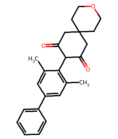 Cc1cc(-c2ccccc2)cc(C)c1C1C(=O)CC2(CCOCC2)CC1=O